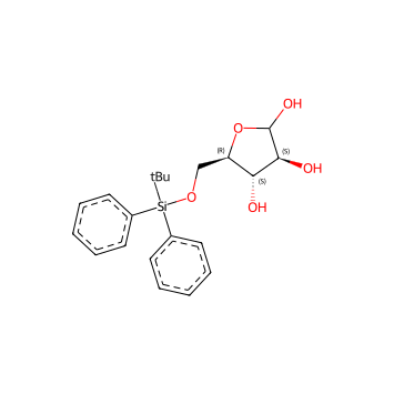 CC(C)(C)[Si](OC[C@H]1OC(O)[C@@H](O)[C@@H]1O)(c1ccccc1)c1ccccc1